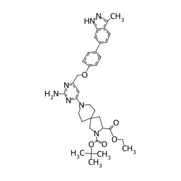 CCOC(=O)C1CC2(CCN(c3cc(COc4ccc(-c5ccc6c(C)n[nH]c6c5)cc4)nc(N)n3)CC2)CN1C(=O)OC(C)(C)C